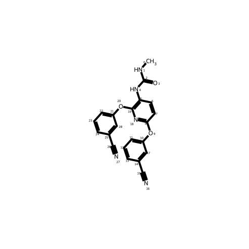 CNC(=O)Nc1ccc(Oc2cccc(C#N)c2)nc1Oc1cccc(C#N)c1